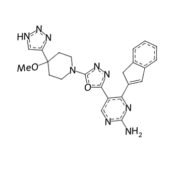 COC1(c2c[nH]nn2)CCN(c2nnc(-c3cnc(N)nc3C3=Cc4ccccc4C3)o2)CC1